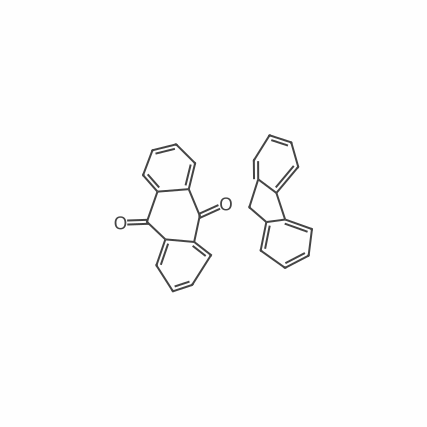 O=C1c2ccccc2C(=O)c2ccccc21.c1ccc2c(c1)Cc1ccccc1-2